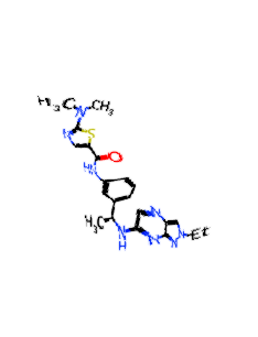 CCn1cc2ncc(N[C@@H](C)c3cccc(NC(=O)c4cnc(N(C)C)s4)c3)nc2n1